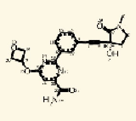 CN1CC[C@@](O)(C#Cc2cccc(-c3nc(OC4COC4)cc(C(N)=O)n3)c2)C1=O